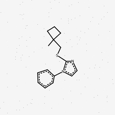 CC1(CSc2nccn2-c2ccccc2)CCC1